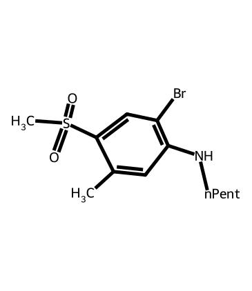 CCCCCNc1cc(C)c(S(C)(=O)=O)cc1Br